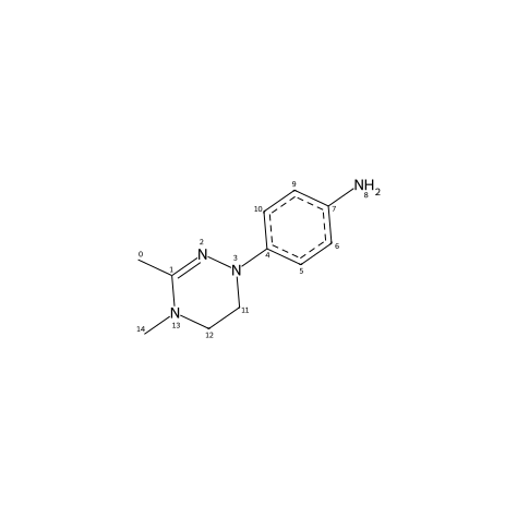 CC1=NN(c2ccc(N)cc2)CCN1C